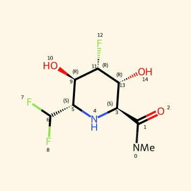 CNC(=O)[C@H]1N[C@H](C(F)F)[C@@H](O)[C@H](F)[C@@H]1O